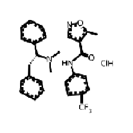 CN(C)[C@H](Cc1ccccc1)c1ccccc1.Cc1oncc1C(=O)Nc1ccc(C(F)(F)F)cc1.Cl